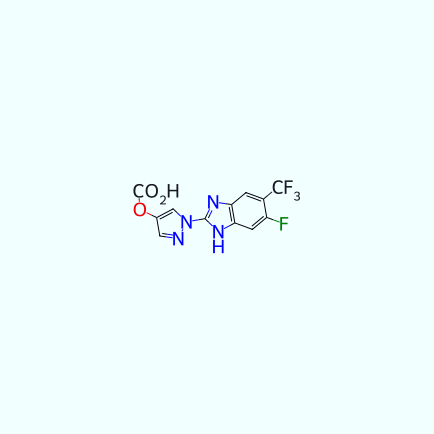 O=C(O)Oc1cnn(-c2nc3cc(C(F)(F)F)c(F)cc3[nH]2)c1